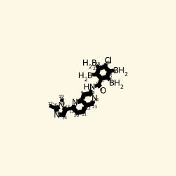 Bc1c(B)c(C(=O)Nc2cc3nc(-c4cnc(C)n4C)ccc3cn2)c(B)c(B)c1Cl